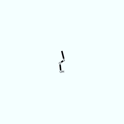 CSOO